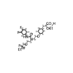 CCOC(Cc1ccc(OCCN(CCOCC(F)(F)CC)C(=O)Nc2ccc(F)c(F)c2)cc1)C(=O)O